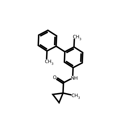 Cc1ccccc1-c1cc(NC(=O)C2(C)CC2)ccc1C